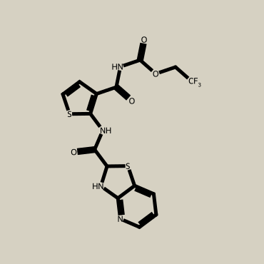 O=C(NC(=O)c1ccsc1NC(=O)C1Nc2ncccc2S1)OCC(F)(F)F